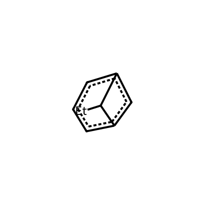 CCC1c2cccc1c2